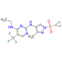 CCNc1nc(Nc2cn(S(=O)(=O)C3CC3)nc2C)ncc1C(F)(F)F